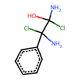 NC(O)(Cl)C(N)(Cl)c1ccccc1